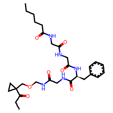 CCCCCC(=O)NCC(=O)NCC(=O)N[C@@H](Cc1ccccc1)C(=O)NCC(=O)NCOCC1(C(=O)CC)CC1